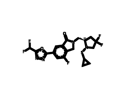 O=C1c2cc(-c3nnc(C(F)F)o3)cc(F)c2CN1C[C@@H]1CC(F)(F)CN1SC1CC1